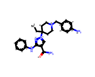 N#CCC1(n2cc(C(N)=O)c(Nc3ccccc3)n2)CCN(Cc2ccc(N)cc2)CC1